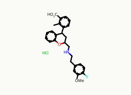 COc1cc(CCNCC2CC(c3cccc(C(=O)O)c3C)c3ccccc3O2)ccc1F.Cl